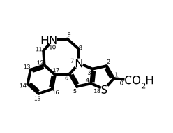 O=C(O)c1cc2c(cc3n2CCNCc2ccccc2-3)s1